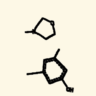 CN1CCOC1.Cc1cc(C)cc(O)c1